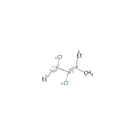 CC/C=C(Cl)\C(Cl)=C(\C)CC